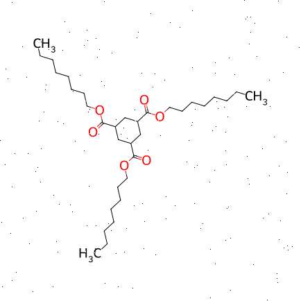 CCCCCCCCOC(=O)C1CC(C(=O)OCCCCCCCC)CC(C(=O)OCCCCCCCC)C1